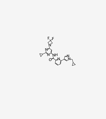 O=C(Nc1cc(N2CC(F)(F)C2)nc(C2CC2)n1)c1cccc(-c2cnn(CC3CC3)c2)n1